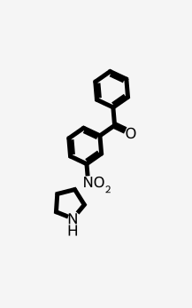 C1CCNC1.O=C(c1ccccc1)c1cccc([N+](=O)[O-])c1